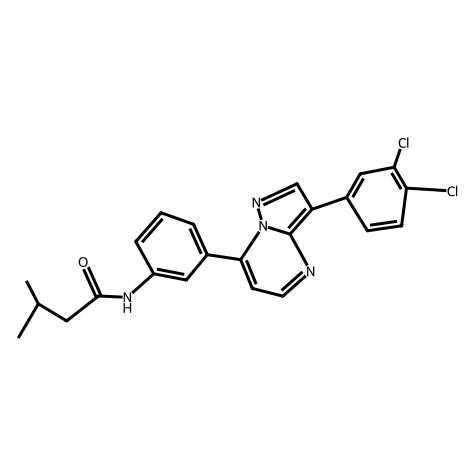 CC(C)CC(=O)Nc1cccc(-c2ccnc3c(-c4ccc(Cl)c(Cl)c4)cnn23)c1